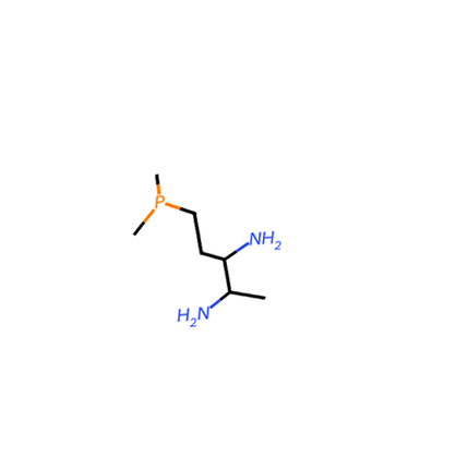 CC(N)C(N)CCP(C)C